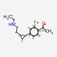 CCNCCC1CC1c1ccc(C(C)=O)c(F)c1